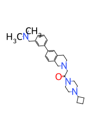 CN(C)Cc1cccc(-c2ccc3c(c2)CCN(CC(=O)N2CCN(C4CCC4)CC2)C3)c1